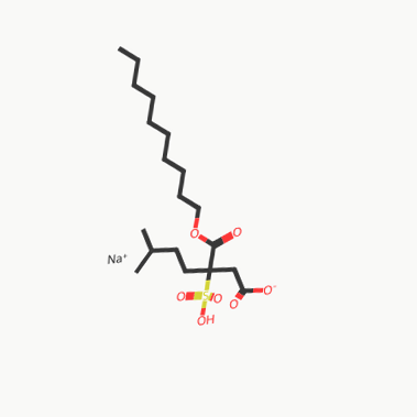 CCCCCCCCCCOC(=O)C(CCC(C)C)(CC(=O)[O-])S(=O)(=O)O.[Na+]